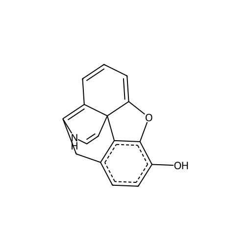 Oc1ccc2c3c1OC1=CC=CC4=C(C2)NC=CC143